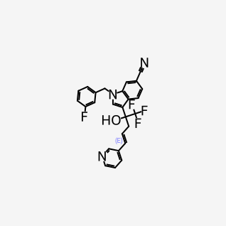 N#Cc1ccc2c(C(O)(C/C=C/c3cccnc3)C(F)(F)F)cn(Cc3cccc(F)c3)c2c1